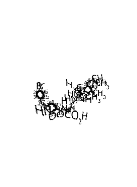 Cc1c(C)c(S(=O)(=O)NC(=N)NCCC[C@H](NC(=O)c2ccc(Cc3ccc(Br)cc3)[nH]c2=O)C(=O)O)c(C)c2c1OC(C)(C)CC2